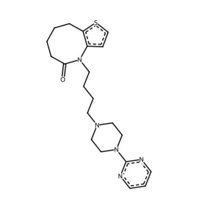 O=C1CCCCc2sccc2N1CCCCN1CCN(c2ncccn2)CC1